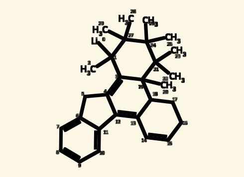 [Li][C]1(C)C2=C3Cc4ccccc4C3=C3C=CCCC3C2(C)C(C)(C)C(C)(C)C1(C)C